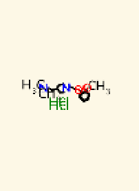 COc1ccccc1OCCN1CCC(CCN(C)C)CC1.Cl.Cl